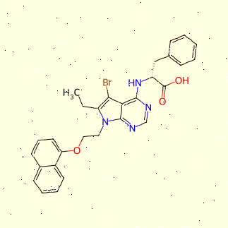 CCc1c(Br)c2c(N[C@H](Cc3ccccc3)C(=O)O)ncnc2n1CCOc1cccc2ccccc12